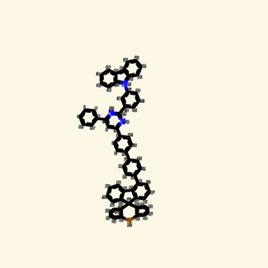 c1ccc(-c2cc(-c3ccc(-c4ccc(-c5cccc6c5-c5ccccc5C65c6ccccc6Sc6ccccc65)cc4)cc3)nc(-c3cccc(-n4c5ccccc5c5ccccc54)c3)n2)cc1